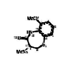 CN[C@H]1CSc2cccc(OC)c2NC1=O